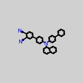 N#Cc1ccc(-c2ccc(N(c3ccc(-c4ccccc4)cc3)c3cccc4ccccc34)cc2)cc1C#N